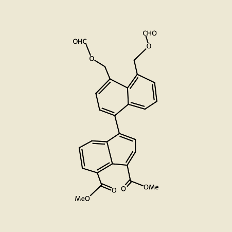 COC(=O)c1cccc2c(-c3ccc(COC=O)c4c(COC=O)cccc34)ccc(C(=O)OC)c12